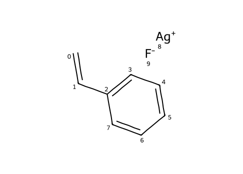 C=Cc1ccccc1.[Ag+].[F-]